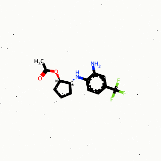 CC(=O)O[C@@H]1CCC[C@H]1Nc1ccc(C(F)(F)F)cc1N